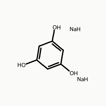 Oc1cc(O)cc(O)c1.[NaH].[NaH]